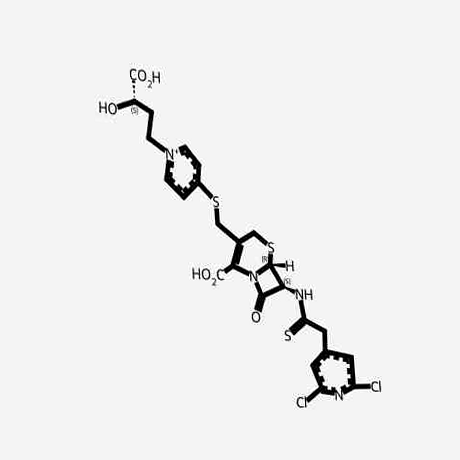 O=C(O)C1=C(CSc2cc[n+](CC[C@H](O)C(=O)O)cc2)CS[C@@H]2[C@@H](NC(=S)Cc3cc(Cl)nc(Cl)c3)C(=O)N12